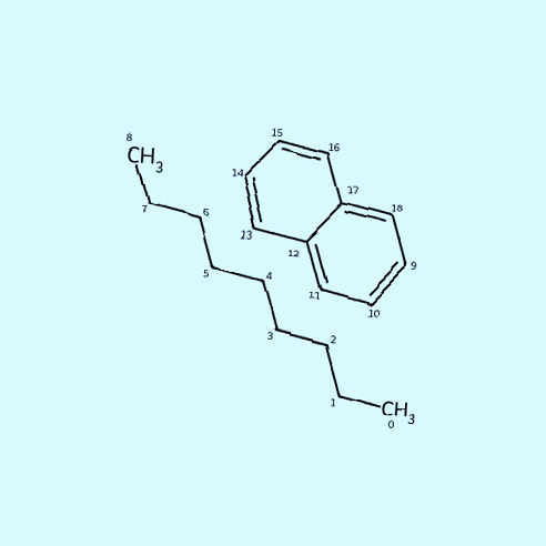 CCCCCCCCC.c1ccc2ccccc2c1